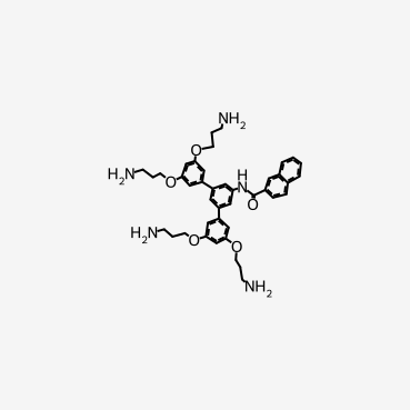 NCCCOc1cc(OCCCN)cc(-c2cc(NC(=O)c3ccc4ccccc4c3)cc(-c3cc(OCCCN)cc(OCCCN)c3)c2)c1